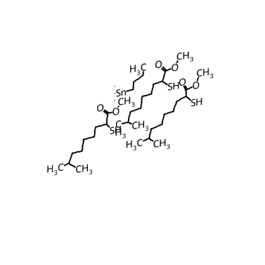 CCC[CH2][Sn].COC(=O)C(S)CCCCCC(C)C.COC(=O)C(S)CCCCCC(C)C.COC(=O)C(S)CCCCCC(C)C